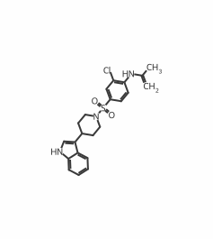 C=C(C)Nc1ccc(S(=O)(=O)N2CCC(c3c[nH]c4ccccc34)CC2)cc1Cl